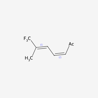 CC(=O)/C=C\C=C(/C)C(F)(F)F